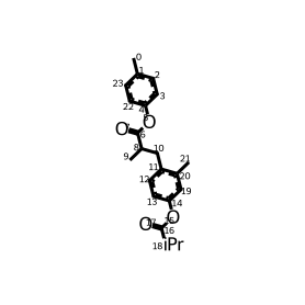 Cc1ccc(OC(=O)C(C)Cc2ccc(OC(=O)C(C)C)cc2C)cc1